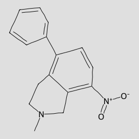 CN1CCc2c(-c3ccccc3)ccc([N+](=O)[O-])c2C1